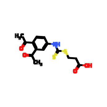 CC(=O)c1ccc(NC(=S)SCCC(=O)O)cc1C(C)=O